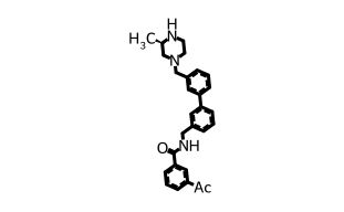 CC(=O)c1cccc(C(=O)NCc2cccc(-c3cccc(CN4CCN[C@H](C)C4)c3)c2)c1